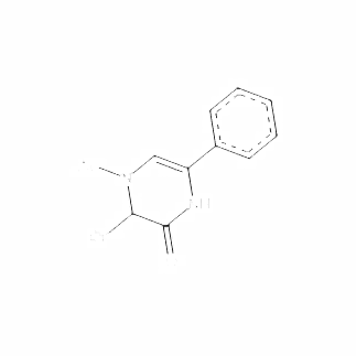 CC(=O)N1C=C(c2ccccc2)NC(=O)C1C(C)C